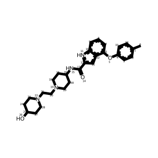 Cc1ccc(Oc2cccc3[nH]c(C(=O)NC4CCN(CCN5CCC(O)CC5)CC4)cc23)cc1